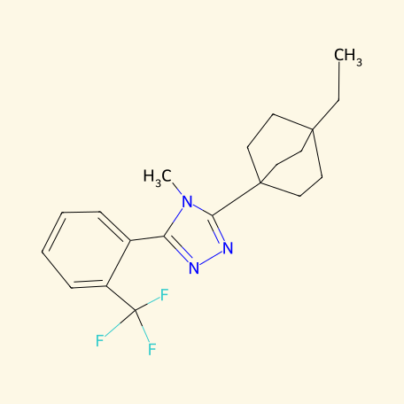 CCC12CCC(c3nnc(-c4ccccc4C(F)(F)F)n3C)(CC1)CC2